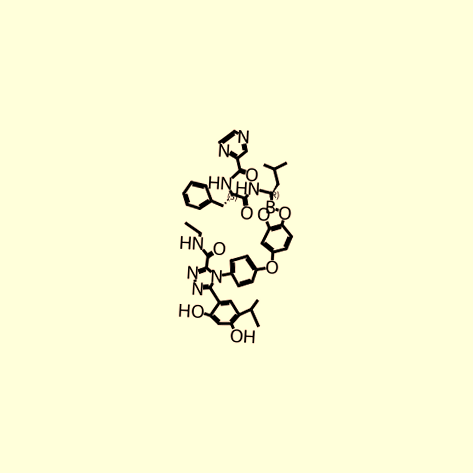 CCNC(=O)c1nnc(-c2cc(C(C)C)c(O)cc2O)n1-c1ccc(Oc2ccc3c(c2)OB([C@H](CC(C)C)NC(=O)[C@H](Cc2ccccc2)NC(=O)c2cnccn2)O3)cc1